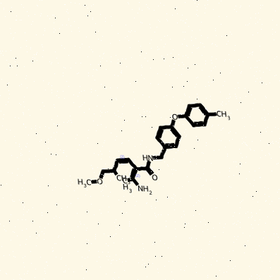 COCC(C)/C=C\C(C(=O)NCc1ccc(Oc2ccc(C)cc2)cc1)=C(/C)N